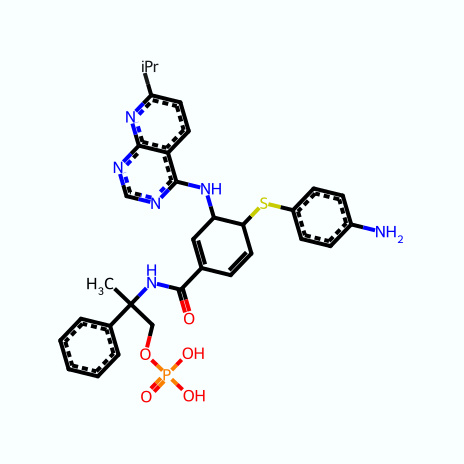 CC(C)c1ccc2c(NC3C=C(C(=O)NC(C)(COP(=O)(O)O)c4ccccc4)C=CC3Sc3ccc(N)cc3)ncnc2n1